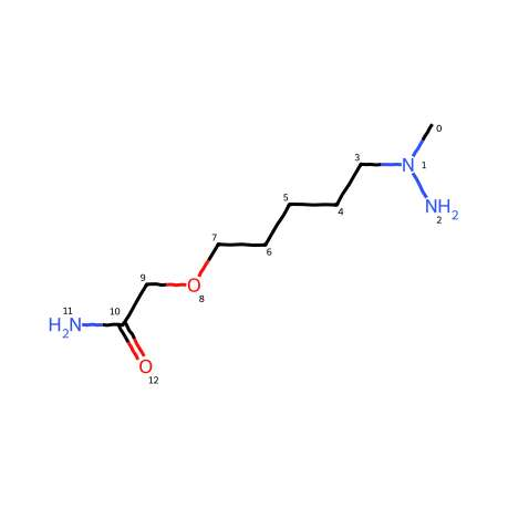 CN(N)CCCCCOCC(N)=O